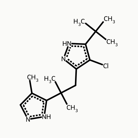 Cc1cn[nH]c1C(C)(C)Cc1n[nH]c(C(C)(C)C)c1Cl